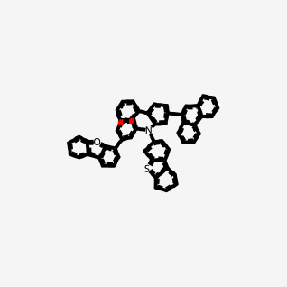 c1ccc(-c2ccc(-c3cc4ccccc4c4ccccc34)cc2N(c2cccc(-c3cccc4c3oc3ccccc34)c2)c2ccc3c(c2)sc2ccccc23)cc1